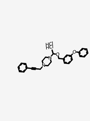 CC(OCc1cccc(Oc2ccccc2)c1)N1CCN(CC#Cc2ccccc2)CC1.Cl.Cl